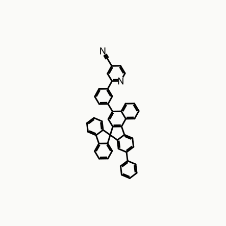 N#Cc1ccnc(-c2cccc(-c3cc4c(c5ccccc35)-c3ccc(-c5ccccc5)cc3C43c4ccccc4-c4ccccc43)c2)c1